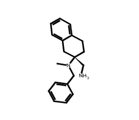 CN(Cc1ccccc1)[C@@]1(CN)CCc2ccccc2C1